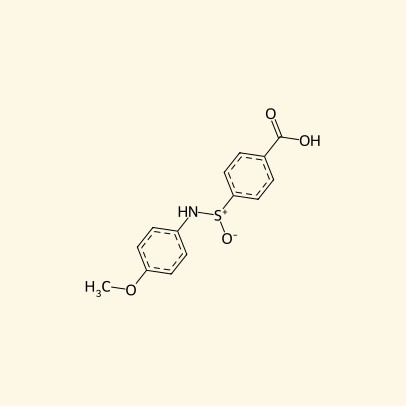 COc1ccc(N[S+]([O-])c2ccc(C(=O)O)cc2)cc1